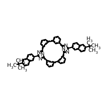 CC(C)(C)c1ccc2cc(-c3nc4nc(n3)c3cccc(c3)c3cccc(c3)c3nc(-c5ccc6cc(C(C)(C)C)ccc6c5)nc(n3)c3cccc(c3)c3cccc4c3)ccc2c1